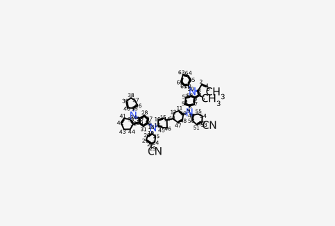 C/C=C\c1c(C)c2cc(N(C3=CCC(C4C=CC(N(C5=CC=C(C#N)CC5)c5ccc6c(c5)c5c(n6C6=CCCC=C6)C=CCC5)=CC4)C=C3)C3=CC=C(C#N)CC3)ccc2n1-c1ccccc1